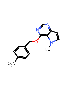 Cn1ccc2ncnc(OCc3ccc([N+](=O)[O-])cc3)c21